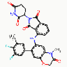 Cc1cc(-c2cc3c(cc2Nc2cccc4c2C(=O)N(C2CCC(=O)NC2=O)C4=O)N(C)C(=O)CO3)cc(F)c1F